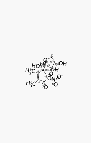 CC(C(=O)O[N+](=O)[O-])=C(C)[C@]1(O)CO[C@@H]2[C@@H](O)CO[C@@H]21